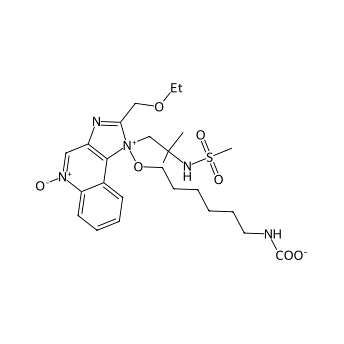 CCOCC1=Nc2c[n+]([O-])c3ccccc3c2[N+]1(CC(C)(C)NS(C)(=O)=O)OCCCCCCNC(=O)[O-]